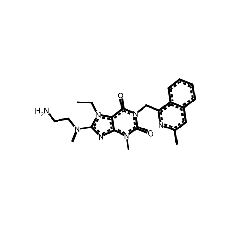 CCn1c(N(C)CCN)nc2c1c(=O)n(Cc1nc(C)cc3ccccc13)c(=O)n2C